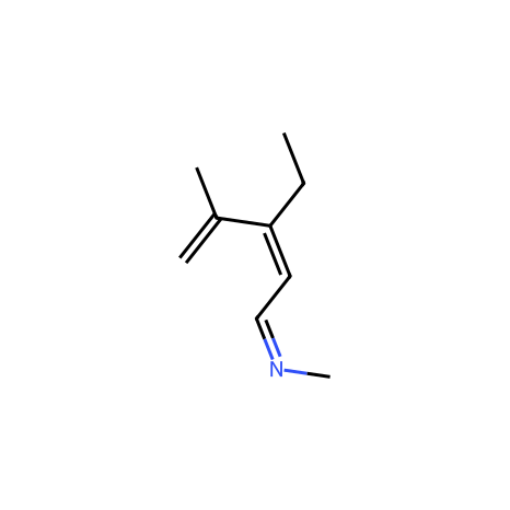 C=C(C)/C(=C\C=N/C)CC